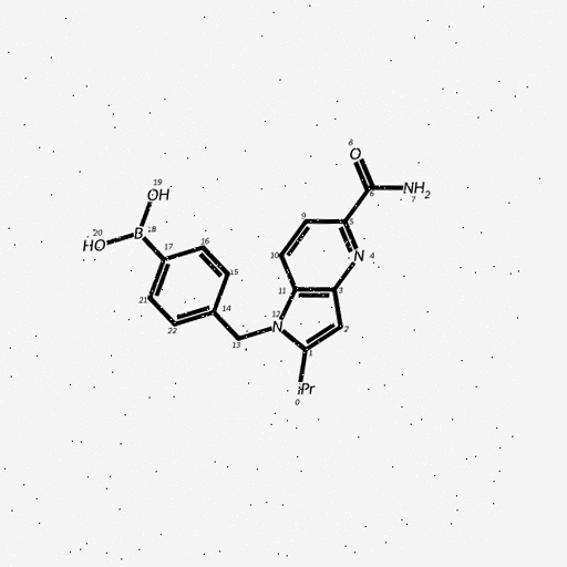 CC(C)c1cc2nc(C(N)=O)ccc2n1Cc1ccc(B(O)O)cc1